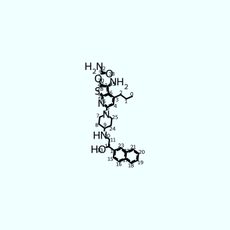 CCCc1cc(N2CCC(NCC(O)c3ccc4ccccc4c3)CC2)nc2sc(OC(N)=O)c(N)c12